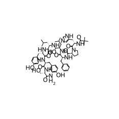 CC(C)CC(NC(=O)[C@H](Cc1ccccc1)NC(=O)[C@@H]1CCCN1C(=O)[C@H](Cc1cnc[nH]1)NC(=O)C(C)(C)C)C(O)N[C@@H](CC(C)C)C(=O)N[C@@H](Cc1ccc(O)cc1)C(=O)N[C@@H](Cc1ccc(O)cc1)C(=O)N[C@@H](CO)C(N)=O